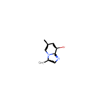 Cc1cc(Br)c2ncc(C=O)n2c1